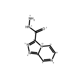 NNC(=O)c1nnc2cnccn12